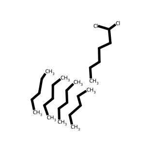 CCCCC.CCCCC.CCCCC.CCCCC.CCCCCC(Cl)Cl